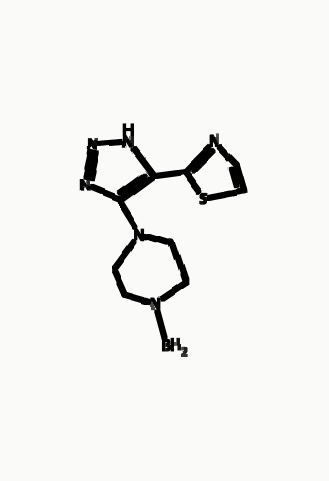 BN1CCN(c2nn[nH]c2-c2nccs2)CC1